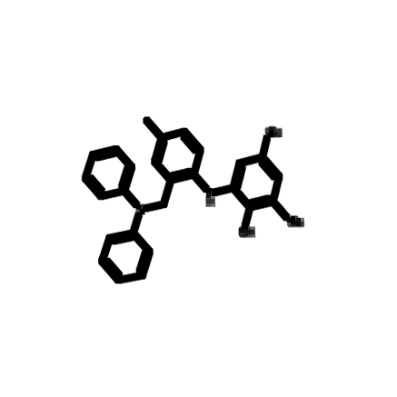 Cc1ccc(Pc2cc(C(C)(C)C)cc(C(C)(C)C)c2O)c(CN(c2ccccc2)c2ccccc2)c1